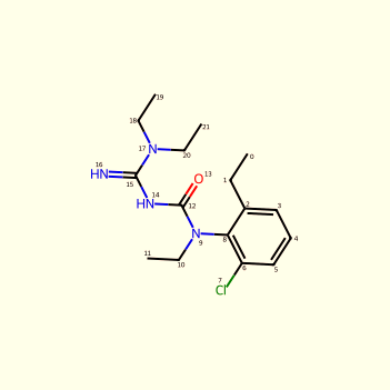 CCc1cccc(Cl)c1N(CC)C(=O)NC(=N)N(CC)CC